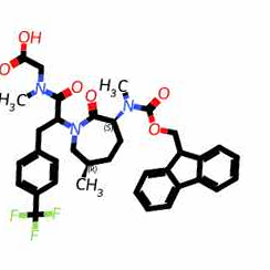 C[C@@H]1CC[C@H](N(C)C(=O)OCC2c3ccccc3-c3ccccc32)C(=O)N(C(Cc2ccc(C(F)(F)F)cc2)C(=O)N(C)CC(=O)O)C1